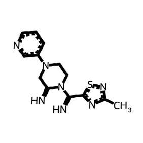 Cc1nsc(C(=N)N2CCN(c3cccnc3)CC2=N)n1